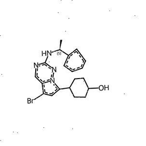 C[C@H](Nc1ncc2c(Br)cc(C3CCC(O)CC3)n2n1)c1ccccc1